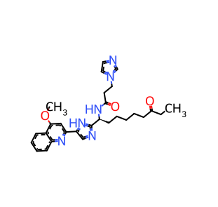 CCC(=O)CCCCC[C@H](NC(=O)CCn1ccnc1)c1ncc(-c2cc(OC)c3ccccc3n2)[nH]1